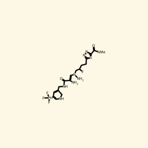 CNC(=O)c1nnc(CCC(F)CN(N)/C=C(\N)C(=O)NCC2=CC([PH](F)(F)F)=CNC2)s1